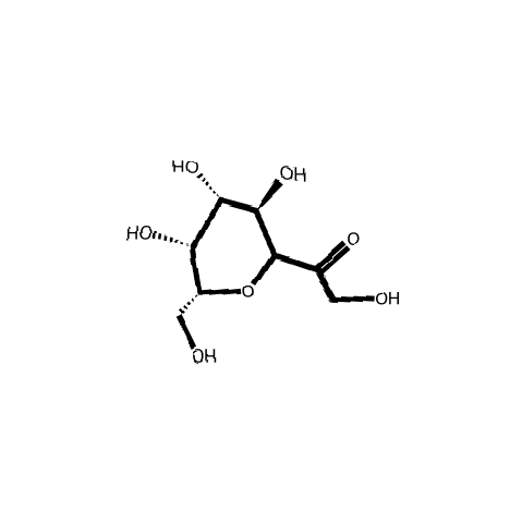 O=C(CO)[C]1O[C@H](CO)[C@H](O)[C@H](O)[C@H]1O